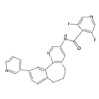 O=C(Nc1cnc2c(c1)CCCc1ccc(-c3cccnc3)cc1-2)c1c(F)cncc1F